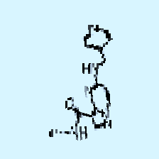 CC(C)NC(=O)c1cnn2ccc(NCc3ccncc3)nc12